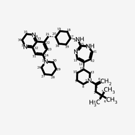 C=C(CC(C)(C)C)N1CCC[C@@H](C2=CN=C(N[C@H]3CC[C@@H](Cc4cc(N5CCCCC5)cc5c4=NCCN=5)CC3)NC=C2)C1